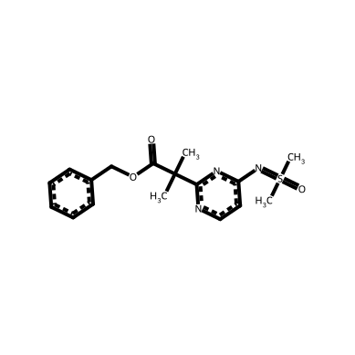 CC(C)(C(=O)OCc1ccccc1)c1nccc(N=S(C)(C)=O)n1